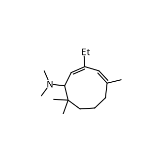 CCC1=C/C(N(C)C)C(C)(C)CCC/C(C)=C\1